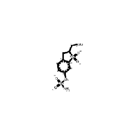 CC(C)(C)CC1Cc2ccc(OS(N)(=O)=O)cc2S1(=O)=O